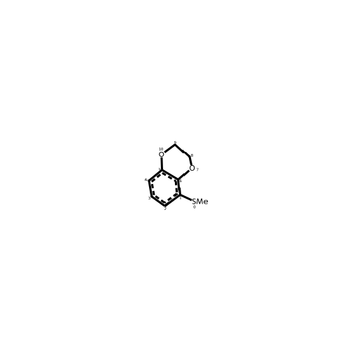 CSc1cccc2c1OCCO2